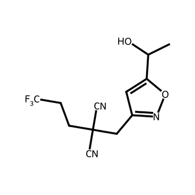 CC(O)c1cc(CC(C#N)(C#N)CCC(F)(F)F)no1